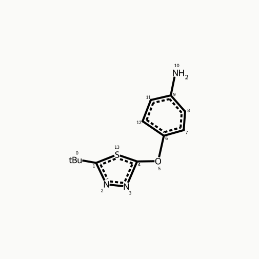 CC(C)(C)c1nnc(Oc2ccc(N)cc2)s1